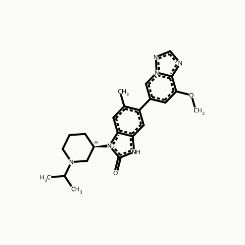 COc1cc(-c2cc3[nH]c(=O)n([C@@H]4CCCN(C(C)C)C4)c3cc2C)cn2ncnc12